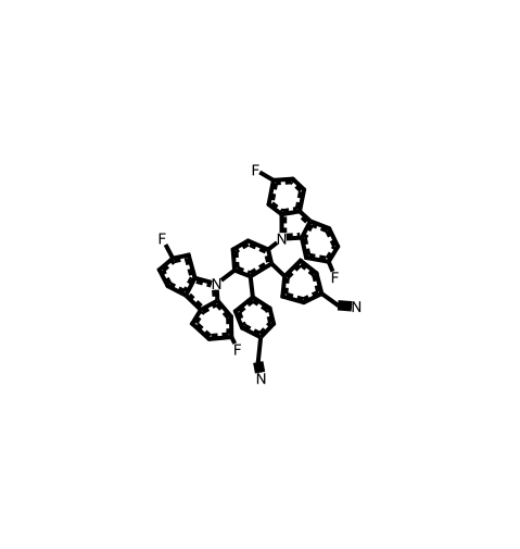 N#Cc1ccc(-c2c(-n3c4cc(F)ccc4c4ccc(F)cc43)ccc(-n3c4cc(F)ccc4c4ccc(F)cc43)c2-c2ccc(C#N)cc2)cc1